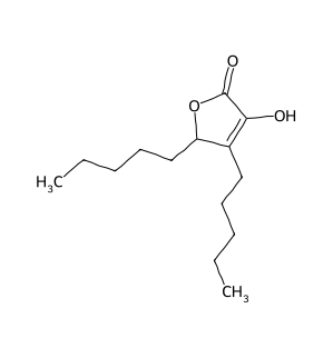 CCCCCC1=C(O)C(=O)OC1CCCCC